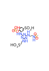 CS(=O)(=O)NCCNc1nc(NCCS(=O)(=O)O)nc(Nc2cc(S(=O)(=O)O)ccc2OS(=O)O)n1